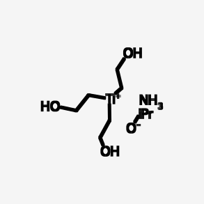 CC(C)[O-].N.OC[CH2][Ti+]([CH2]CO)[CH2]CO